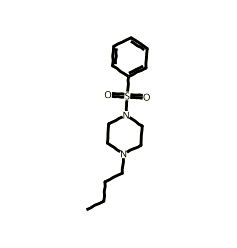 CCCCN1CCN(S(=O)(=O)c2ccccc2)CC1